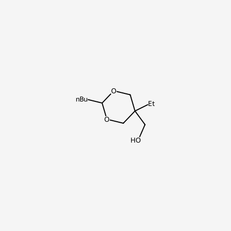 CCCCC1OCC(CC)(CO)CO1